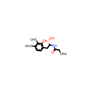 CSCC(=O)NC1Cc2ccc(SC)c(C=O)c2OB1O